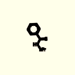 [CH2]CCNC(=S)c1ccccc1